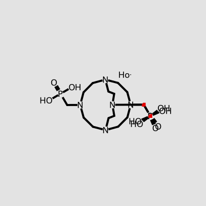 O=P(O)(O)CN1CCN2CCN(CP(=O)(O)O)CCN(CC1)CCN(CP(=O)(O)O)CC2.[Ho]